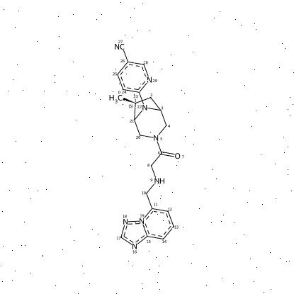 C[C@H]1CC2CN(C(=O)CNCc3cccc4ncnn34)CC1N2c1ccc(C#N)cn1